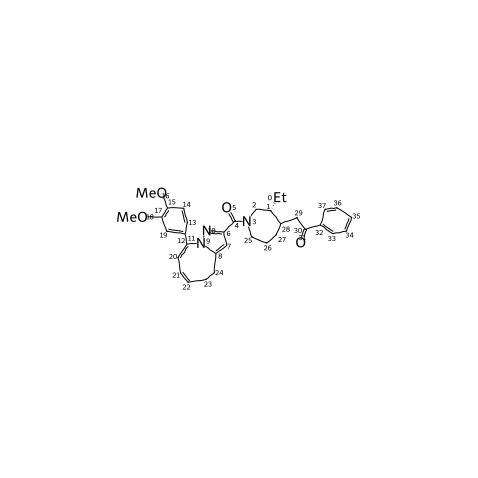 CC[C@H]1CN(C(=O)c2cc3n(n2)/C(c2ccc(OC)c(OC)c2)=C\C=C/CC3)CCCC1CC(=O)c1ccccc1